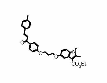 CCOC(=O)c1c(C)n(C)c2ccc(OCCCOc3ccc(C(=O)C=Cc4ccc(C)cc4)cc3)cc12